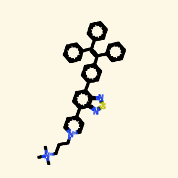 C[N+](C)(C)CCC[n+]1ccc(-c2ccc(-c3ccc(C(=C(c4ccccc4)c4ccccc4)c4ccccc4)cc3)c3nsnc23)cc1